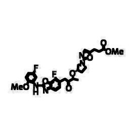 COC(=O)CCc1cnc(N2CC[C@H](OC(C)C(=O)Cc3ccc4nc(Nc5cc(F)ccc5OC)oc4c3F)C2)o1